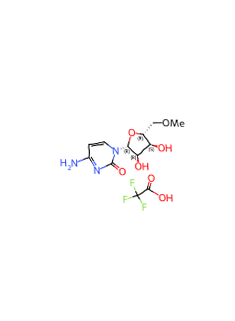 COC[C@H]1O[C@@H](n2ccc(N)nc2=O)[C@H](O)[C@@H]1O.O=C(O)C(F)(F)F